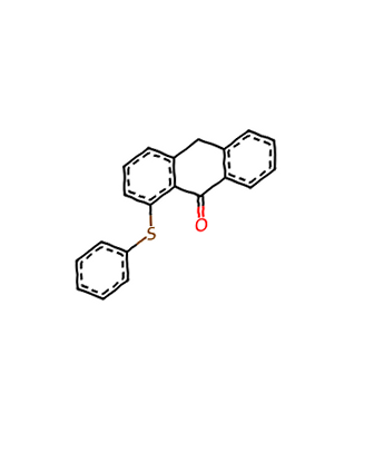 O=C1c2ccccc2Cc2cccc(Sc3ccccc3)c21